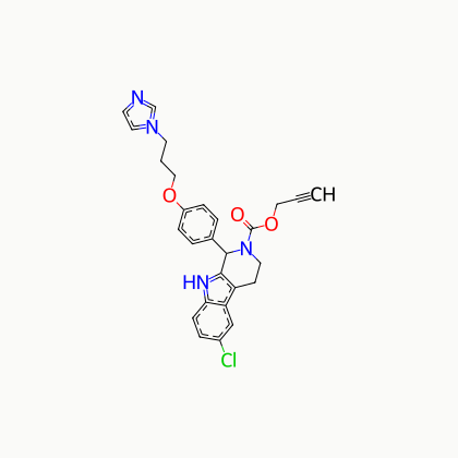 C#CCOC(=O)N1CCc2c([nH]c3ccc(Cl)cc23)C1c1ccc(OCCCn2ccnc2)cc1